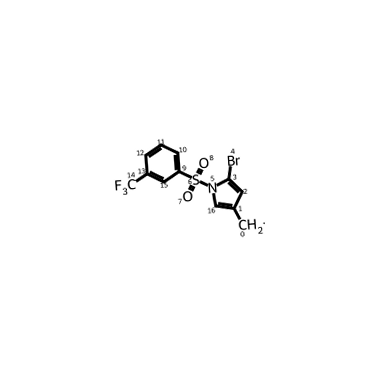 [CH2]c1cc(Br)n(S(=O)(=O)c2cccc(C(F)(F)F)c2)c1